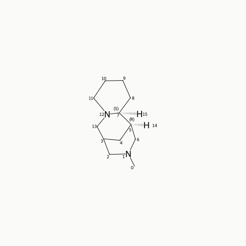 CN1CC2C[C@H](C1)[C@@H]1CCCCN1C2